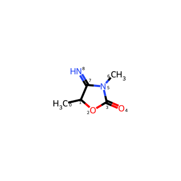 CC1OC(=O)N(C)C1=N